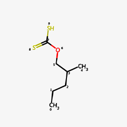 CCCC(C)COC(=S)S